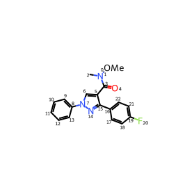 CON(C)C(=O)c1cn(-c2ccccc2)nc1-c1ccc(F)cc1